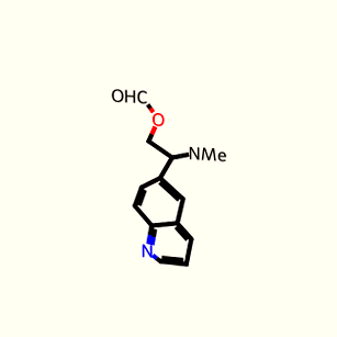 CNC(COC=O)c1ccc2ncccc2c1